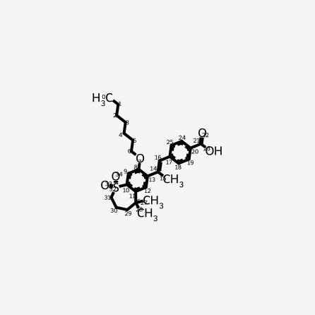 CCCCCCCOc1cc2c(cc1C(C)=Cc1ccc(C(=O)O)cc1)C(C)(C)CCCS2(=O)=O